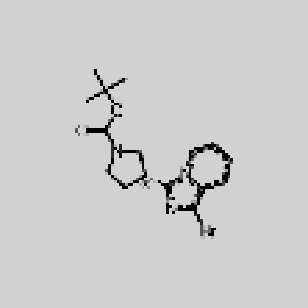 CC(C)(C)OC(=O)N1CC[C@@H](c2nc(Br)c3ccccn23)C1